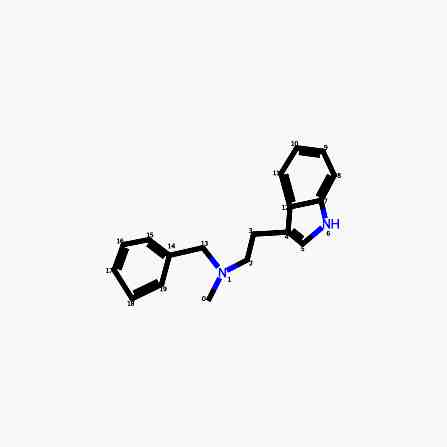 CN(CCc1c[nH]c2ccccc12)Cc1ccccc1